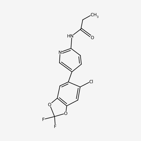 CCC(=O)Nc1ccc(-c2cc3c(cc2Cl)OC(F)(F)O3)cn1